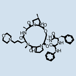 C[C@H]1C[C@H]2C(=O)OC[C@H](NC(=O)[C@H](Cc3ccccc3)NC(=O)Nc3ccccc3)C(=O)N3CCC[C@H]3C(=O)N(C)[C@@H](CCCN3CCOCC3)C(=O)N[C@@H](C)C(=O)N2C1